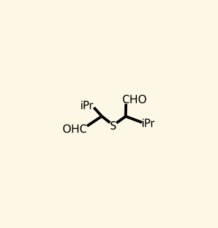 CC(C)C(C=O)SC(C=O)C(C)C